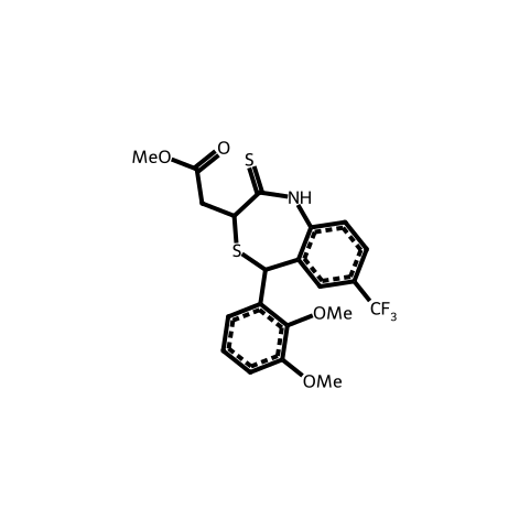 COC(=O)CC1SC(c2cccc(OC)c2OC)c2cc(C(F)(F)F)ccc2NC1=S